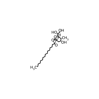 CCCCCCCCCCCCCCCC(=O)O[C@@]12C[C@H](O)[C@@H](C)[C@@H](O1)[C@@H]([C@H](O)CO)OC2=O